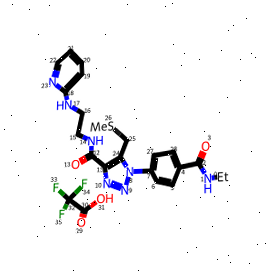 CCNC(=O)c1ccc(-n2nnc(C(=O)NCCNc3ccccn3)c2CSC)cc1.O=C(O)C(F)(F)F